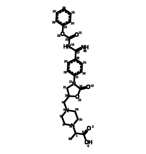 CC(C(=O)O)N1CCN(CC2CN(c3ccc(C(=N)NC(=O)Oc4ccccc4)cc3)C(=O)O2)CC1